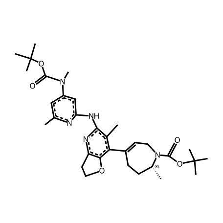 Cc1cc(N(C)C(=O)OC(C)(C)C)cc(Nc2nc3c(c(C4=CCN(C(=O)OC(C)(C)C)[C@H](C)CC4)c2C)OCC3)n1